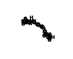 CN(C)C(=O)c1cc2cnc(Nc3ccc(N4CCC(N5CCN(Cc6ccc7c(c6)CN(N6CCC(=O)NC6=O)C7=O)CC5)CC4)cn3)nc2n1C1CCCC1